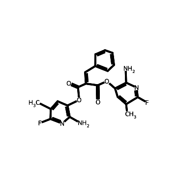 Cc1cc(OC(=O)C(=Cc2ccccc2)C(=O)Oc2cc(C)c(F)nc2N)c(N)nc1F